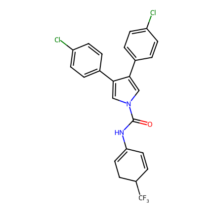 O=C(NC1=CCC(C(F)(F)F)C=C1)n1cc(-c2ccc(Cl)cc2)c(-c2ccc(Cl)cc2)c1